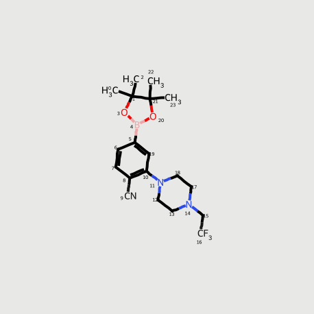 CC1(C)OB(c2ccc(C#N)c(N3CCN(CC(F)(F)F)CC3)c2)OC1(C)C